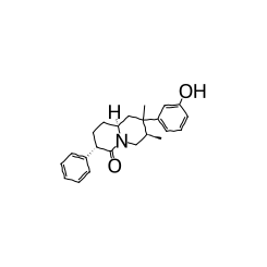 C[C@H]1CN2C(=O)[C@H](c3ccccc3)CC[C@H]2CC1(C)c1cccc(O)c1